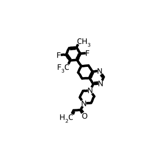 C=CC(=O)N1CCN(c2ncnc3c2CCC(c2c(F)c(C)cc(F)c2C(F)(F)F)C3)CC1